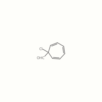 O=CC1(Cl)C=CC=CC=C1